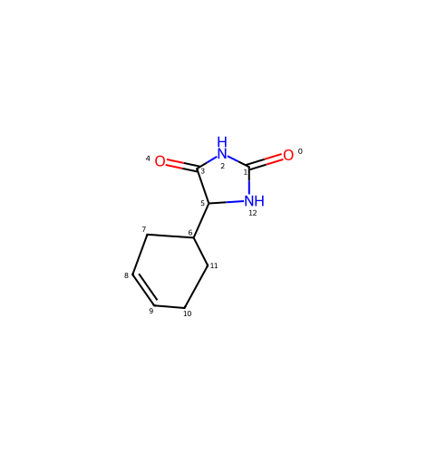 O=C1NC(=O)C(C2CC=CCC2)N1